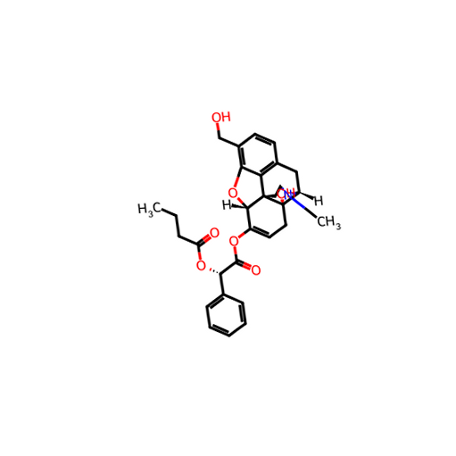 CCCC(=O)O[C@H](C(=O)OC1=CC[C@@]2(O)[C@H]3Cc4ccc(CO)c5c4[C@@]2(CCN3C)[C@H]1O5)c1ccccc1